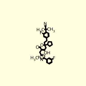 Cn1nc(-c2cccc(F)c2)nc1CC1=C(O)CC(CCc2ccc(C(C)(C)C#N)c(F)c2)(C2CCCC2)OC1=O